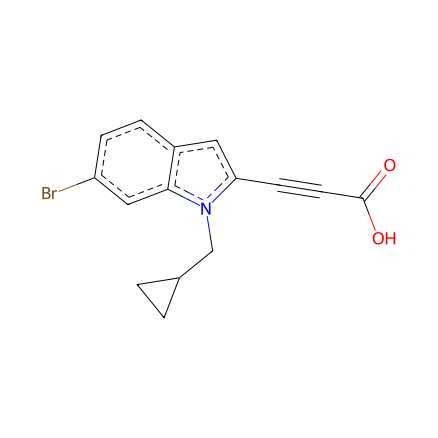 O=C(O)C#Cc1cc2ccc(Br)cc2n1CC1CC1